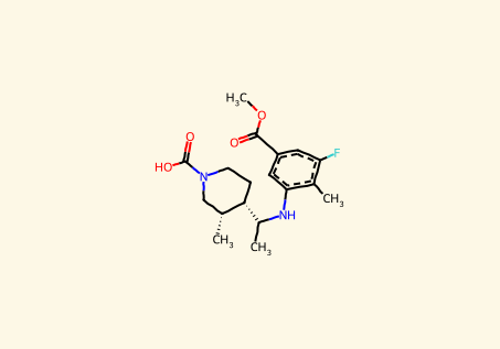 COC(=O)c1cc(F)c(C)c(NC(C)[C@H]2CCN(C(=O)O)C[C@H]2C)c1